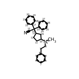 CN(CCc1ccccc1)C1CCC(C(C#N)(c2ccccc2)c2ccccc2)C1